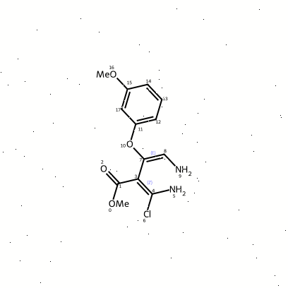 COC(=O)C(=C(/N)Cl)/C(=C\N)Oc1cccc(OC)c1